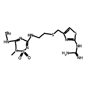 CN1C(NC(C)(C)C)=NC(NCCSCc2csc(NC(=N)N)n2)=NS1(=O)=O